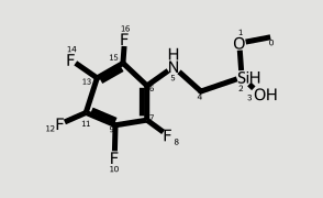 CO[SiH](O)CNc1c(F)c(F)c(F)c(F)c1F